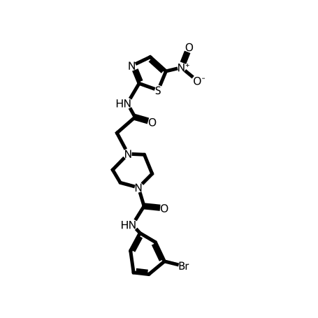 O=C(CN1CCN(C(=O)Nc2cccc(Br)c2)CC1)Nc1ncc([N+](=O)[O-])s1